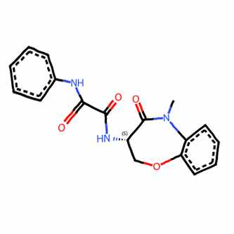 CN1C(=O)[C@@H](NC(=O)C(=O)Nc2ccccc2)COc2ccccc21